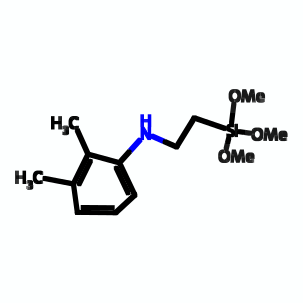 CO[Si](CCNc1cccc(C)c1C)(OC)OC